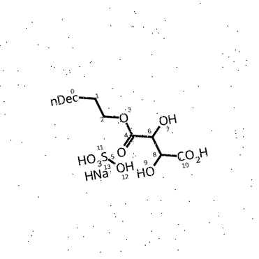 CCCCCCCCCCCCOC(=O)C(O)C(O)C(=O)O.O=S(=O)(O)O.[NaH]